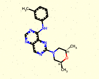 Cc1cccc(Nc2ncnc3cnc(N4C[C@H](C)O[C@@H](C)C4)nc23)c1